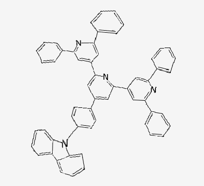 c1ccc(-c2cc(-c3cc(-c4ccc(-n5c6ccccc6c6ccccc65)cc4)cc(-c4cc(-c5ccccc5)nc(-c5ccccc5)c4)n3)cc(-c3ccccc3)n2)cc1